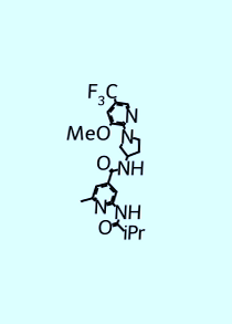 COc1cc(C(F)(F)F)cnc1N1CCC(NC(=O)c2cc(C)nc(NC(=O)C(C)C)c2)C1